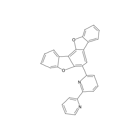 c1ccc(-c2cccc(-c3cc4c5ccccc5oc4c4c3oc3ccccc34)n2)nc1